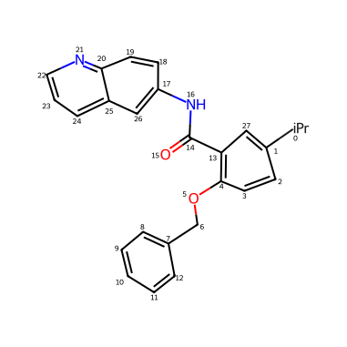 CC(C)c1ccc(OCc2ccccc2)c(C(=O)Nc2ccc3ncccc3c2)c1